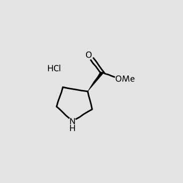 COC(=O)[C@@H]1CCNC1.Cl